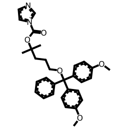 COc1ccc(C(OCCCC(C)(C)OC(=O)n2ccnc2)(c2ccccc2)c2ccc(OC)cc2)cc1